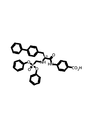 O=C(O)c1ccc(NC(=O)[C@H](Cc2ccc(-c3ccccc3)cc2)NCP(=O)(Oc2ccccc2)Oc2ccccc2)cc1